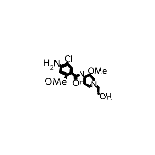 COc1cc(N)c(Cl)cc1C(=O)NC1CCN(CCO)CC1OC